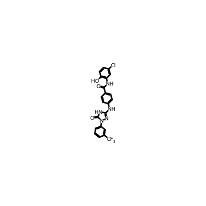 O=C(Nc1cc(Cl)ccc1O)c1ccc(Nc2nn(-c3cccc(C(F)(F)F)c3)c(=O)[nH]2)cc1